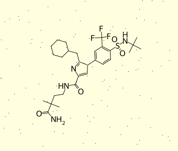 CC(C)(C)NS(=O)(=O)c1ccc(C2C=C(C(=O)NCCC(C)(C)C(N)=O)N=C2CC2CCCCC2)cc1C(F)(F)F